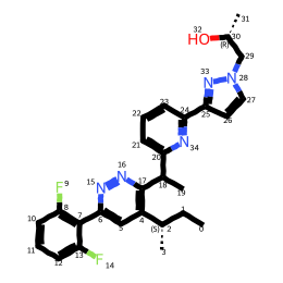 CC[C@H](C)c1cc(-c2c(F)cccc2F)nnc1C(C)c1cccc(-c2ccn(C[C@@H](C)O)n2)n1